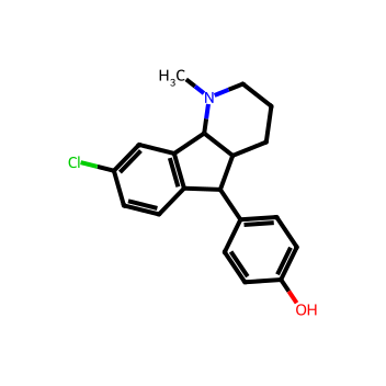 CN1CCCC2C(c3ccc(O)cc3)c3ccc(Cl)cc3C21